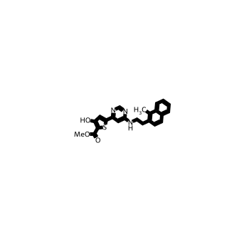 COC(=O)c1sc(-c2cc(NCCc3ccc4ccccc4c3C)ncn2)cc1O